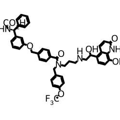 O=C(O)N[C@@H](c1ccccc1)c1cccc(OCc2ccc(C(=O)N(CCCNCC(O)c3ccc(O)c4[nH]c(=O)ccc34)Cc3ccc(OC(F)(F)F)cc3)cc2)c1